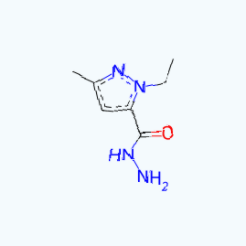 CCn1nc(C)cc1C(=O)NN